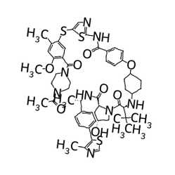 COc1cc(C)c(Sc2cnc(NC(=O)c3ccc(OC4CCC(N[C@H](C(=O)N5C[C@H](O)C[C@H]5C(=O)N[C@@H](C)c5ccc(-c6scnc6C)cc5)C(C)(C)C)CC4)cc3)s2)cc1C(=O)N1CCN(C(C)=O)CC1